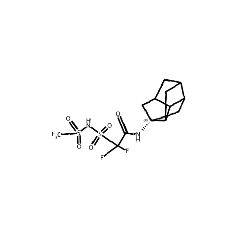 O=C(N[C@@]12CC3CC4CC1C3C4C2)C(F)(F)S(=O)(=O)NS(=O)(=O)C(F)(F)F